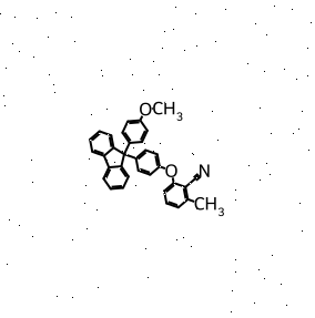 COc1ccc(C2(c3ccc(Oc4cccc(C)c4C#N)cc3)c3ccccc3-c3ccccc32)cc1